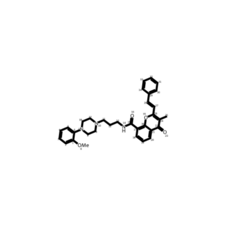 COc1ccccc1N1CCN(CCCNC(=O)c2cccc3c(=O)c(C)c(C=Cc4ccccc4)oc23)CC1